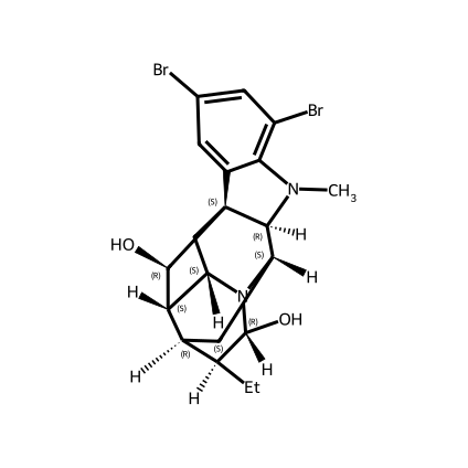 CC[C@H]1[C@@H]2C[C@H]3[C@@H]4N(C)c5c(Br)cc(Br)cc5[C@@]45C[C@@H]([C@H]2[C@H]5O)N3[C@@H]1O